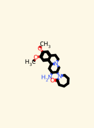 COc1cc2c(cc1OC)C1CC(N)C(N3CCCCCC3=O)CN1CC2